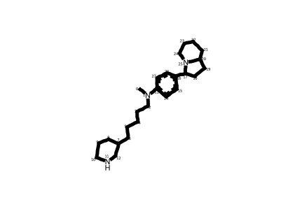 CN(CCCCCC1CCCNC1)c1ccc(C2CCC3CCCCN32)cc1